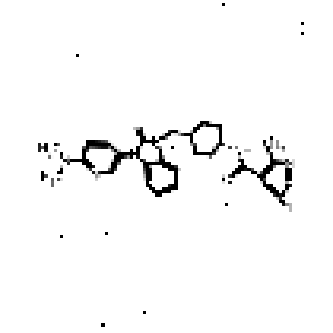 Cc1ncc(Cl)cc1C(=O)N[C@H]1CC[C@H](Cn2c(=O)n(-c3ccc(N(C)C)nc3)c3ccccc32)CC1